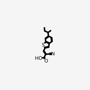 CCC(C)c1ccc2cc(/C=C(\C#N)C(=O)O)sc2c1